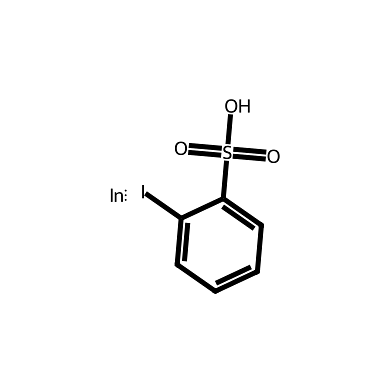 O=S(=O)(O)c1ccccc1I.[In]